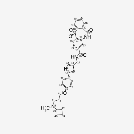 CN(CCCOc1ccc(-c2ncc(CNC(=O)c3ccc4c(c3)NC(=O)c3ccccc3S4(=O)=O)s2)cc1)C1CCC1